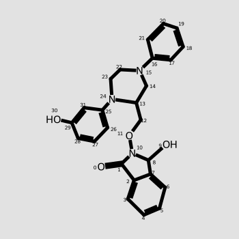 O=C1c2ccccc2C(O)N1OCC1CN(c2ccccc2)CCN1c1cccc(O)c1